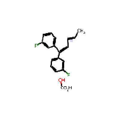 C/C=C/C=C(c1cccc(F)c1)c1cccc(F)c1.O=C(O)O